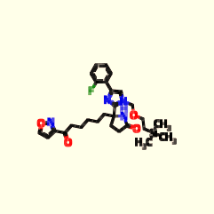 C[Si](C)(C)CCOCn1cc(-c2ccccc2F)nc1C1(CCCCCC(=O)c2ccon2)CCC(=O)N1